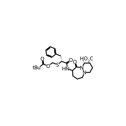 CC(C)(C)C(=O)OCS[C@H](Cc1ccccc1)C(=O)NC1CCCN2CCC[C@@H](C(=O)O)N2C1=O